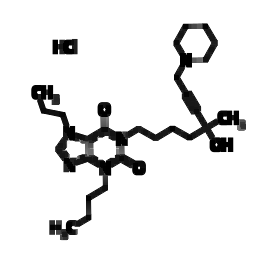 CCCCn1c(=O)n(CCCCC(C)(O)C#CCN2CCCCC2)c(=O)c2c1ncn2CCC.Cl